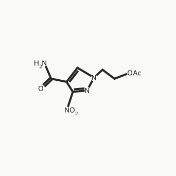 CC(=O)OCCn1cc(C(N)=O)c([N+](=O)[O-])n1